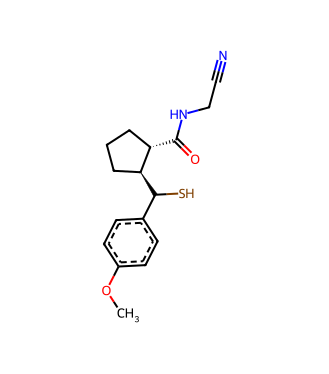 COc1ccc(C(S)[C@H]2CCC[C@@H]2C(=O)NCC#N)cc1